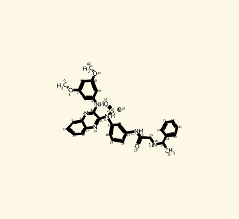 COc1cc(Nc2nc3ccccc3nc2N(c2cccc(NC(=O)CNC(C)c3ccccc3)c2)[SH](=O)=O)cc(OC)c1